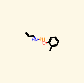 C=CCNPOc1ccccc1C